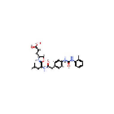 Cc1ccccc1NC(=O)Nc1ccc(CC(=O)NC(CC(C)C)C2=NC(CCC(=O)O)CO2)cc1